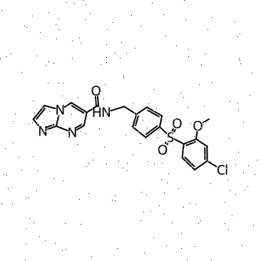 COc1cc(Cl)ccc1S(=O)(=O)c1ccc(CNC(=O)c2cnc3nccn3c2)cc1